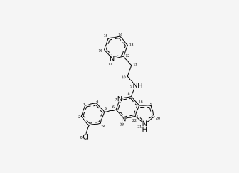 Clc1cccc(-c2nc(NCCc3ccccn3)c3cc[nH]c3n2)c1